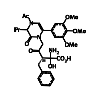 COc1cc(C2=CN(C(C)=O)C(C(C)C)C(=O)N2CC(=O)[C@@H](Cc2ccccc2)C(N)(O)C(=O)O)cc(OC)c1OC